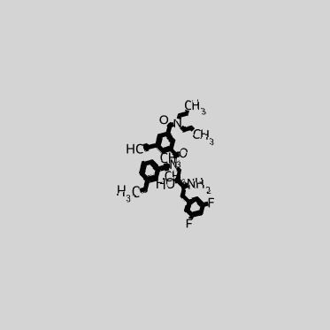 C#Cc1cc(C(=O)N(CCC)CCC)cc(C(=O)N(CC(O)C(N)Cc2cc(F)cc(F)c2)C(C)(C)c2cccc(CC)c2)c1